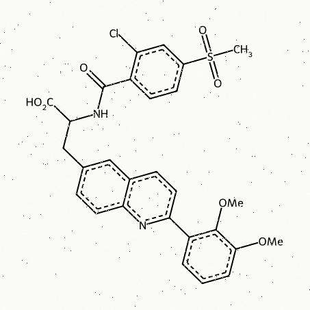 COc1cccc(-c2ccc3cc(CC(NC(=O)c4ccc(S(C)(=O)=O)cc4Cl)C(=O)O)ccc3n2)c1OC